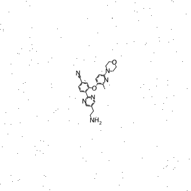 Cc1nc(N2CCOCC2)ccc1Oc1cc(C#N)ccc1-c1ncc(CCN)cn1